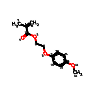 C=C(C)C(=O)OCCOc1ccc(OC)cc1